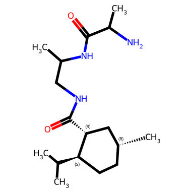 CC(CNC(=O)[C@@H]1C[C@H](C)CC[C@H]1C(C)C)NC(=O)C(C)N